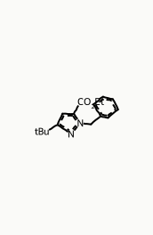 CCOC(=O)c1cc(C(C)(C)C)nn1Cc1ccccc1